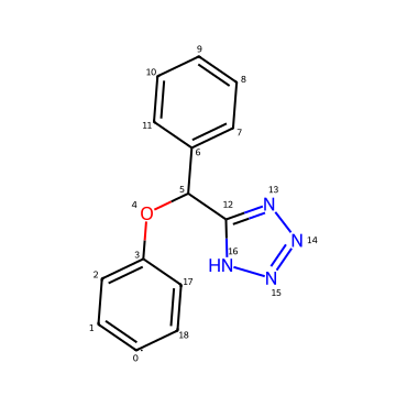 [c]1ccc(OC(c2ccccc2)c2nnn[nH]2)cc1